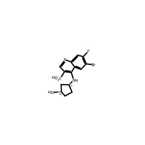 O=C(O)c1cnc2cc(F)c(Br)cc2c1N[C@H]1CC[C@@H](O)C1